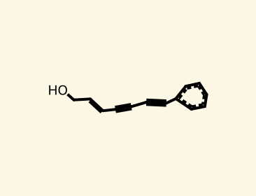 OC/C=C/C#CC#Cc1ccccc1